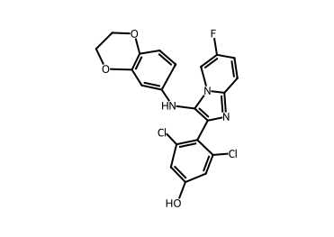 Oc1cc(Cl)c(-c2nc3ccc(F)cn3c2Nc2ccc3c(c2)OCCO3)c(Cl)c1